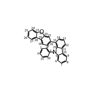 c1ccc(-n2c3ccccc3c3cccc(-c4ccc5c(c4)oc4ccccc45)c32)cc1